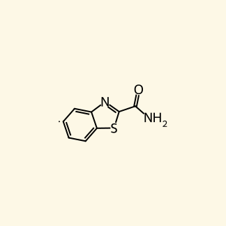 NC(=O)c1nc2c[c]ccc2s1